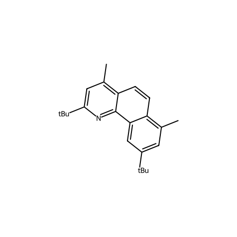 Cc1cc(C(C)(C)C)cc2c1ccc1c(C)cc(C(C)(C)C)nc12